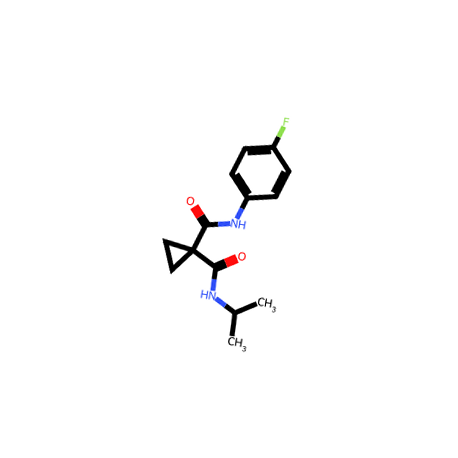 CC(C)NC(=O)C1(C(=O)Nc2ccc(F)cc2)CC1